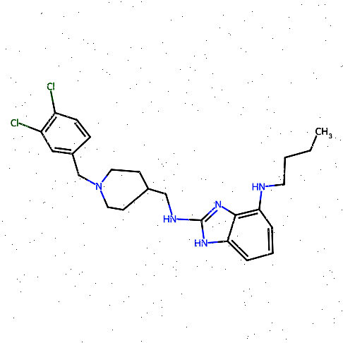 CCCCNc1cccc2[nH]c(NCC3CCN(Cc4ccc(Cl)c(Cl)c4)CC3)nc12